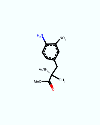 COC(=O)[C@](C)(Cc1ccc(N)c([N+](=O)[O-])c1)NC(C)=O